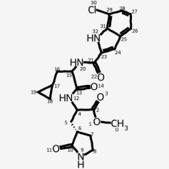 COC(=O)C(C[C@@H]1CCNC1=O)NC(=O)C(CC1CC1)NC(=O)c1cc2cccc(Cl)c2[nH]1